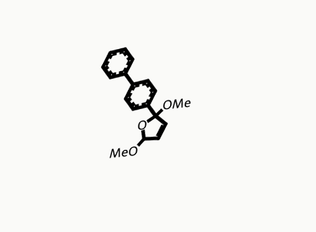 COC1C=CC(OC)(c2ccc(-c3ccccc3)cc2)O1